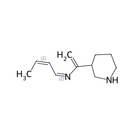 C=C(/N=C\C=C/C)C1CCCNC1